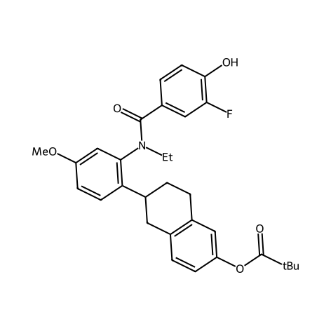 CCN(C(=O)c1ccc(O)c(F)c1)c1cc(OC)ccc1C1CCc2cc(OC(=O)C(C)(C)C)ccc2C1